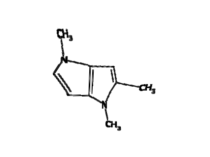 Cc1cc2c(ccn2C)n1C